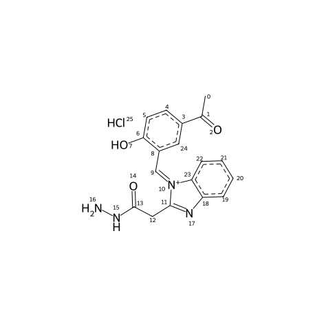 CC(=O)c1ccc(O)c(C=[N+]2C(CC(=O)NN)=Nc3ccccc32)c1.Cl